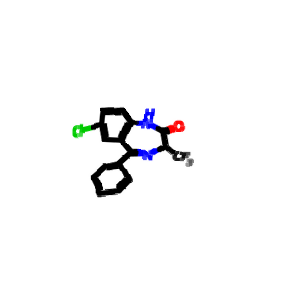 O=C1Nc2ccc(Cl)cc2C(c2ccccc2)=NC1C(F)(F)F